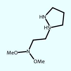 CON(CC[SiH]1CCCN1)OC